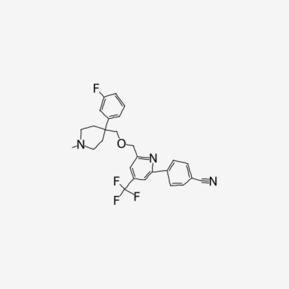 CN1CCC(COCc2cc(C(F)(F)F)cc(-c3ccc(C#N)cc3)n2)(c2cccc(F)c2)CC1